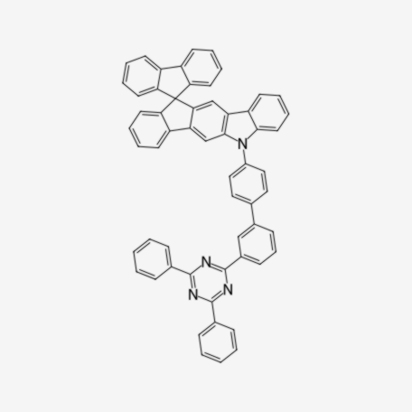 c1ccc(-c2nc(-c3ccccc3)nc(-c3cccc(-c4ccc(-n5c6ccccc6c6cc7c(cc65)-c5ccccc5C75c6ccccc6-c6ccccc65)cc4)c3)n2)cc1